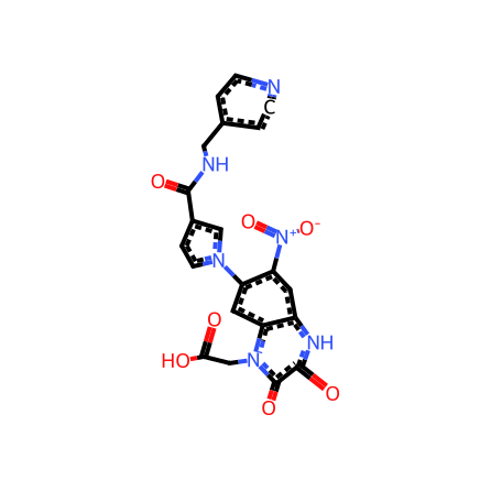 O=C(O)Cn1c(=O)c(=O)[nH]c2cc([N+](=O)[O-])c(-n3ccc(C(=O)NCc4ccncc4)c3)cc21